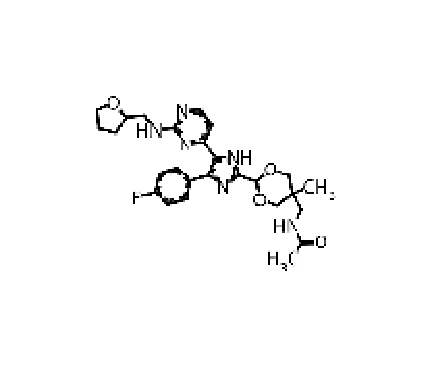 CC(=O)NCC1(C)COC(c2nc(-c3ccc(F)cc3)c(-c3ccnc(NCC4CCCO4)n3)[nH]2)OC1